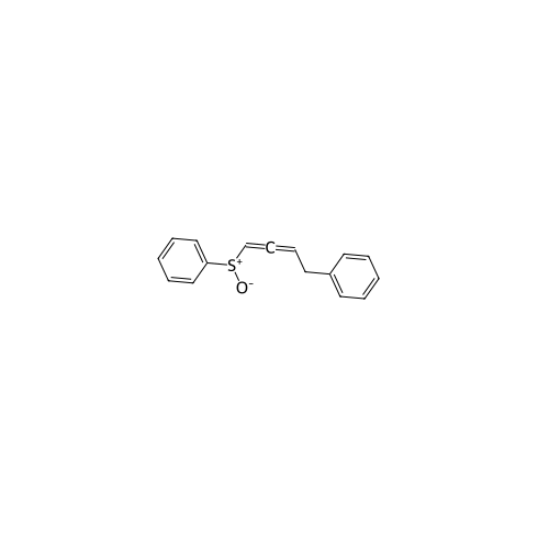 [O-][S+](C=C=CCc1ccccc1)c1ccccc1